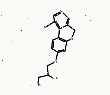 CC(C)CC(N)COc1ccc2c(c1)OCc1cncc(F)c1-2